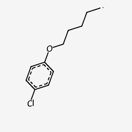 [CH2]CCCCOc1ccc(Cl)cc1